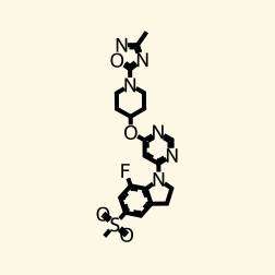 Cc1noc(N2CCC(Oc3cc(N4CCc5cc(S(C)(=O)=O)cc(F)c54)ncn3)CC2)n1